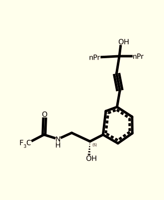 CCCC(O)(C#Cc1cccc([C@H](O)CNC(=O)C(F)(F)F)c1)CCC